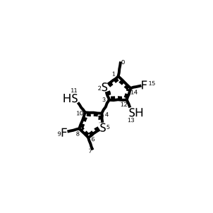 Cc1sc(-c2sc(C)c(F)c2S)c(S)c1F